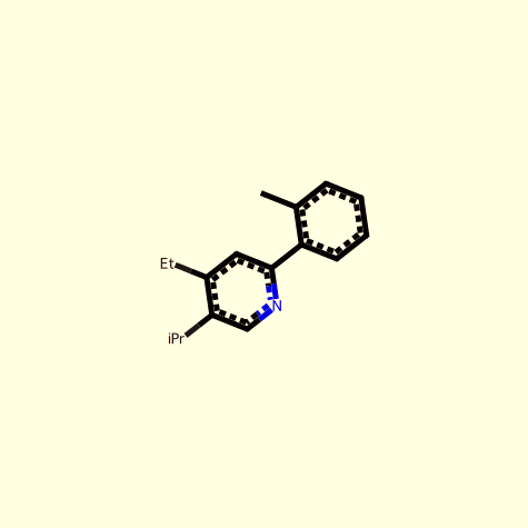 CCc1cc(-c2ccccc2C)ncc1C(C)C